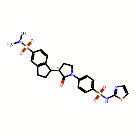 CN(C)S(=O)(=O)c1ccc2c(c1)CCC2[C@H]1CCN(c2ccc(S(=O)(=O)Nc3nccs3)cc2)C1=O